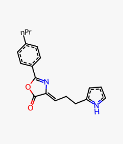 CCCc1ccc(C2=N/C(=C\CCc3ccc[nH]3)C(=O)O2)cc1